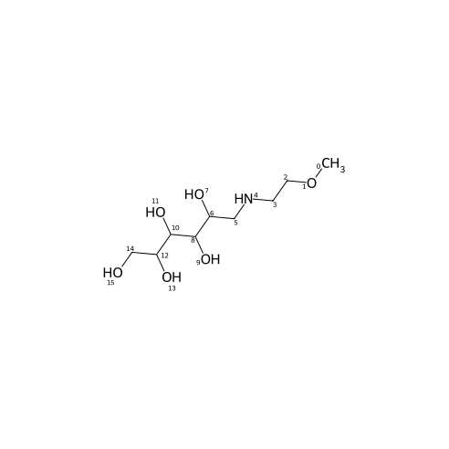 COCCNCC(O)C(O)C(O)C(O)CO